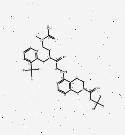 CN(CCN(Cc1ncccc1C(F)(F)F)C(=O)CNc1cccc2c1CCN(C(=O)CC(C)(C)C)C2)C(=O)O